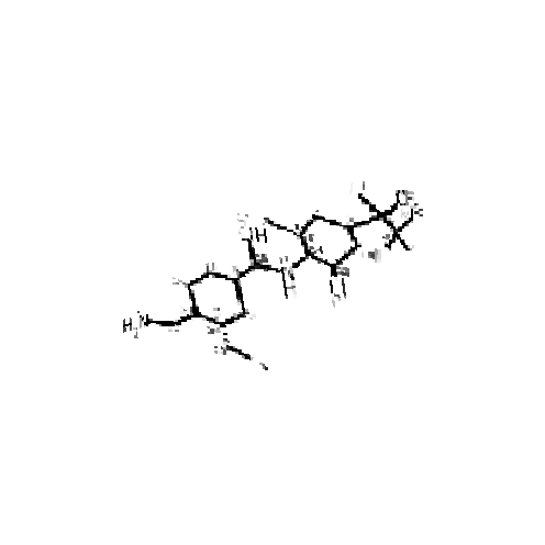 C[C@H]1CC(C(F)(C(C)(F)F)C(F)(F)F)CC(Cl)C1NC(O)C1CCC(CN)[C@@H](CI)C1